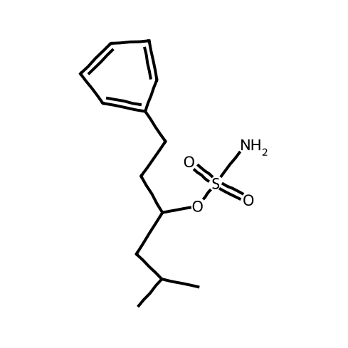 CC(C)CC(CCc1ccccc1)OS(N)(=O)=O